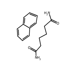 NC(=O)CCCCC(N)=O.c1ccc2ccccc2c1